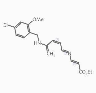 C=C(\C=C/C=N/C=C/C(=O)OCC)NCc1ccc(Cl)cc1OC